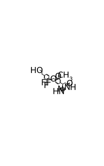 COc1cc(C2CC(=O)Nc3c[nH]nc32)ccc1OCc1ccc(CCO)cc1C(F)(F)F